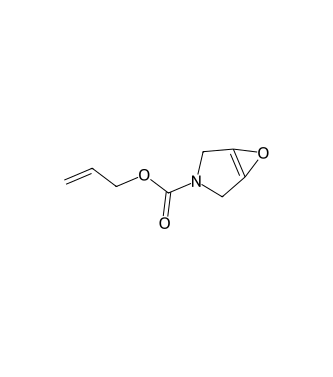 C=CCOC(=O)N1CC2=C(C1)O2